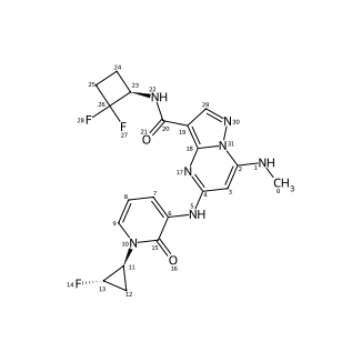 CNc1cc(Nc2cccn([C@H]3C[C@@H]3F)c2=O)nc2c(C(=O)N[C@@H]3CCC3(F)F)cnn12